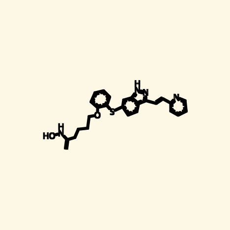 C=C(CCCCOc1ccccc1Sc1ccc2c(/C=C/c3ccccn3)n[nH]c2c1)NO